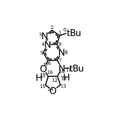 CC(C)(C)c1cnn2cc3c(nc12)N(C(C)(C)C)[C@H]1COC[C@H]1O3